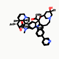 CC[C@]1(O)C[C@H]2CN(CCc3c([nH]c4ccc(-c5cccnc5)cc34)[C@@](C(=O)OC)(C3C=C4C(=CC3OC)N(C)[C@@]35O[C@]3(C(=O)OC)[C@H](OC(C)=O)[C@]3(CC)C=CCN6CC[C@]45[C@@H]63)C2)C1